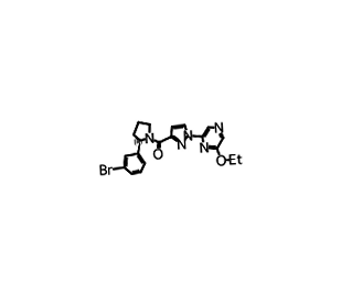 CCOc1cncc(-n2ccc(C(=O)N3CCC[C@@H]3c3cccc(Br)c3)n2)n1